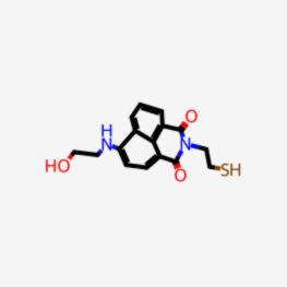 O=C1c2cccc3c(NCCO)ccc(c23)C(=O)N1CCS